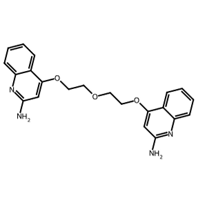 Nc1cc(OCCOCCOc2cc(N)nc3ccccc23)c2ccccc2n1